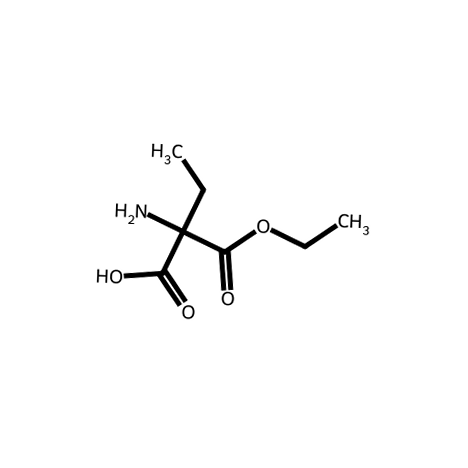 CCOC(=O)C(N)(CC)C(=O)O